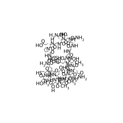 CC(C)[C@H](NC(=O)[C@H](C)NC(=O)[C@@H](NC(=O)[C@H](CCC(=O)O)NC(=O)[C@H](CCC(N)=O)NC(=O)[C@H](CS)NC(=O)[C@@H](N)CO)[C@@H](C)O)C(=O)N[C@H](C(=O)N[C@@H](CCC(N)=O)C(=O)N[C@H](C(=O)N[C@@H](Cc1ccc(O)cc1)C(=O)NCC(=O)NCC(=O)N[C@@H](CC(N)=O)C(=O)N[C@@H](CO)C(=O)N[C@@H](CC(N)=O)C(=O)NCC(=O)N[C@@H](CCC(=O)O)C(=O)N1CCC[C@H]1C(=O)N[C@@H](CS)C(=O)O)[C@@H](C)O)[C@@H](C)O